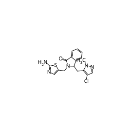 Cn1ncc(Cl)c1CC1c2ccccc2C(=O)N1Cc1cnc(N)s1